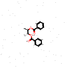 C[C@@H](OC(=O)c1ccccc1)[C@@H](C)OC(=O)c1ccccc1